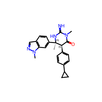 CN1C(=N)N[C@](C)(c2ccc3cnn(C)c3c2)[C@H](c2ccc(C3CC3)cc2)C1=O